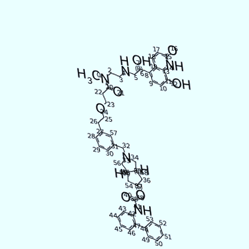 CN(CCNC[C@H](O)c1ccc(O)c2[nH]c(=O)ccc12)C(=O)CCOCCc1cccc(CN2C[C@H]3C[C@H](OC(=O)Nc4ccccc4-c4ccccc4)C[C@H]3C2)c1